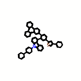 C1=CCC(C2=CCC(n3c4ccccc4c4c(-c5cc(-c6cc(C7=CCCC=C7)cs6)ccc5-c5ccc6c7ccccc7c7ccccc7c6c5)cccc43)C=C2)C=C1